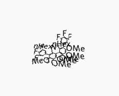 CCCCCC[N+]1(CCCCCC)Cc2c(-c3cc(F)c(F)c(F)c3)c(OC)c(OC)c(OC)c2-c2c(c(-c3cc(F)c(F)c(F)c3)c(OC)c(OC)c2OC)C1